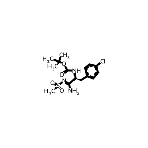 CC(C)(C)OC(=O)N[C@@H](Cc1ccc(Cl)cc1)/C(N)=N/S(C)(=O)=O